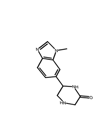 Cn1cnc2ccc(C3CNCC(=O)N3)cc21